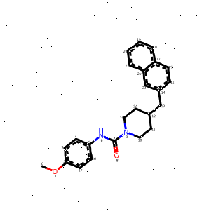 COc1ccc(NC(=O)N2CCC(Cc3ccc4ccccc4c3)CC2)cc1